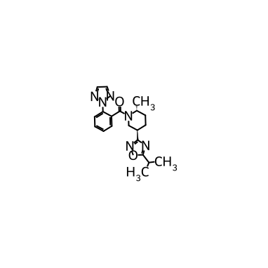 CC(C)c1nc([C@@H]2CC[C@@H](C)N(C(=O)c3ccccc3-n3nccn3)C2)no1